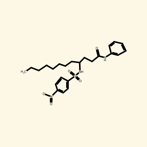 CCCCCCCCC(CCC(=O)Nc1ccccc1)NS(=O)(=O)c1ccc([N+](=O)[O-])cc1